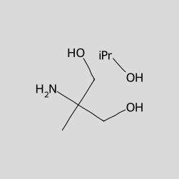 CC(C)O.CC(N)(CO)CO